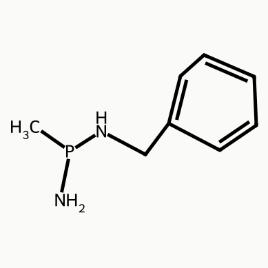 CP(N)NCc1ccccc1